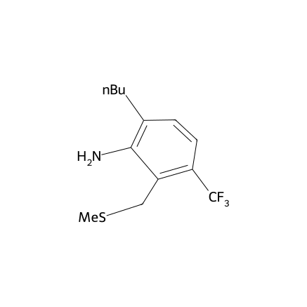 CCCCc1ccc(C(F)(F)F)c(CSC)c1N